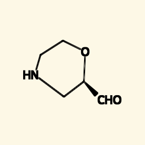 O=C[C@H]1CNCCO1